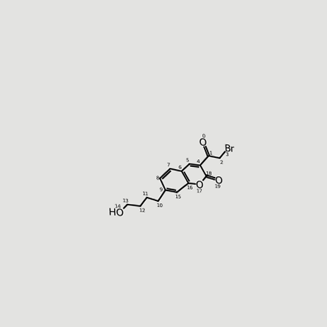 O=C(CBr)c1cc2ccc(CCCCO)cc2oc1=O